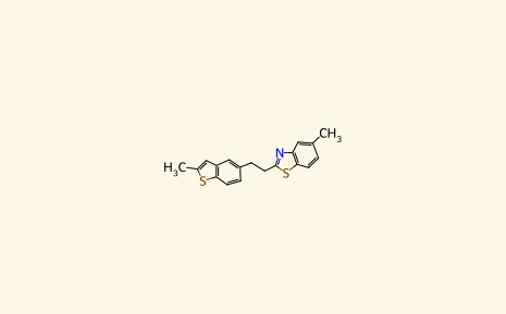 Cc1ccc2sc(CCc3ccc4sc(C)cc4c3)nc2c1